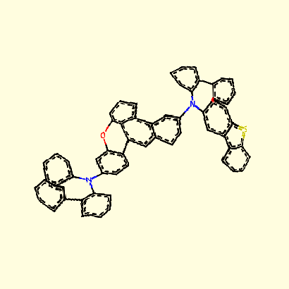 c1ccc(-c2ccccc2N(c2ccccc2)c2ccc3c(c2)Oc2cccc4c2c-3cc2ccc(N(c3ccc5sc6ccccc6c5c3)c3ccccc3-c3ccccc3)cc24)cc1